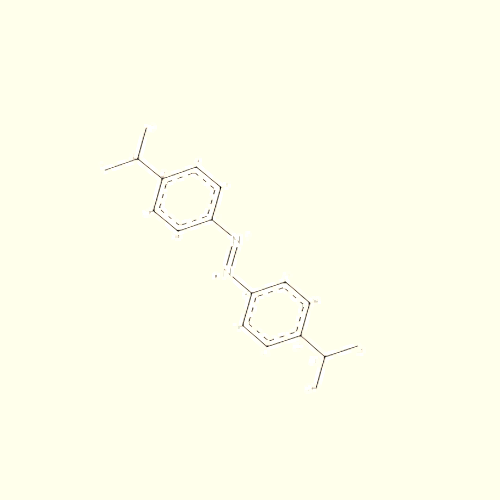 CC(C)c1ccc(N=Nc2ccc(C(C)C)cc2)cc1